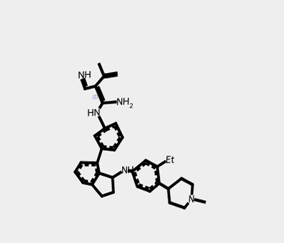 C=C(C)/C(C=N)=C(\N)Nc1cccc(-c2cccc3c2C(Nc2ccc(C4CCN(C)CC4)c(CC)c2)CC3)c1